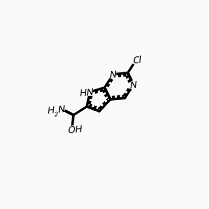 NC(O)c1cc2cnc(Cl)nc2[nH]1